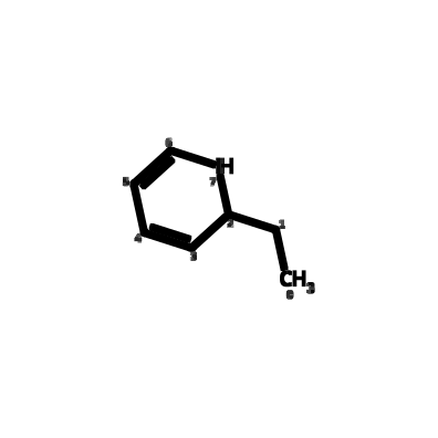 CCC1C=CC=C[IH]1